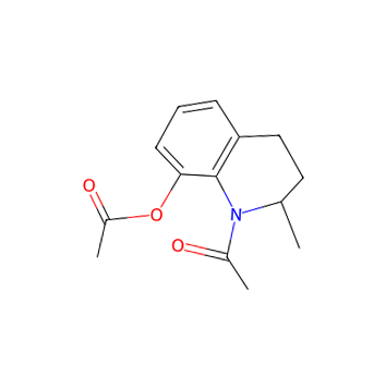 CC(=O)Oc1cccc2c1N(C(C)=O)C(C)CC2